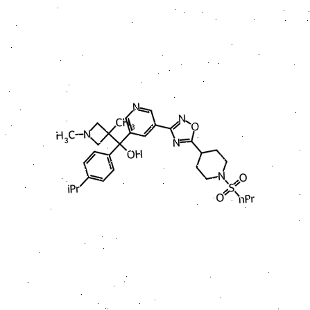 CCCS(=O)(=O)N1CCC(c2nc(-c3cncc(C(O)(c4ccc(C(C)C)cc4)C4(C)CN(C)C4)c3)no2)CC1